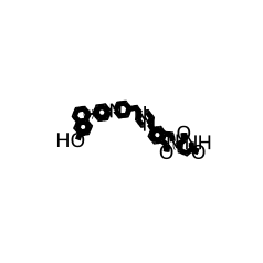 O=C1CC[C@H](N2Cc3cc(N4CCN(CC5CCN(c6ccc([C@@H]7CCCc8cc(O)ccc87)cc6)CC5)CC4)ccc3C2=O)C(=O)N1